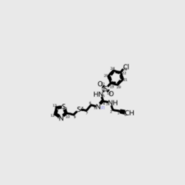 C#CCN/C(=N/CCSCc1nccs1)NS(=O)(=O)c1ccc(Cl)cc1